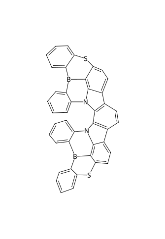 c1ccc2c(c1)Sc1ccc3c4ccc5c6ccc7c8c6n(c5c4n4c3c1B2c1ccccc1-4)-c1ccccc1B8c1ccccc1S7